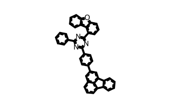 c1ccc(-c2nc(-c3ccc(-c4cc5c6c(cccc6c4)-c4ccccc4-5)cc3)nc(-c3cccc4oc5ccccc5c34)n2)cc1